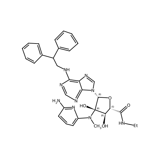 CCNC(=O)[C@H]1O[C@@H](n2cnc3c(NCC(c4ccccc4)c4ccccc4)ncnc32)[C@@](O)(N(C)c2cccc(N)n2)[C@@H]1O